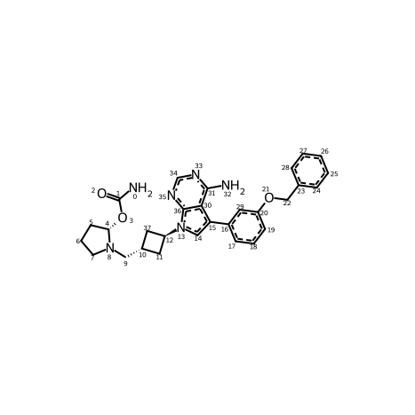 NC(=O)O[C@H]1CCCN1C[C@H]1C[C@H](n2cc(-c3cccc(OCc4ccccc4)c3)c3c(N)ncnc32)C1